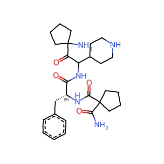 NC(=O)C1(C(=O)N[C@H](Cc2ccccc2)C(=O)NC(C(=O)C2(N)CCCC2)C2CCNCC2)CCCC1